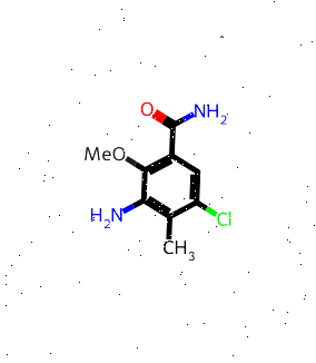 COc1c(C(N)=O)cc(Cl)c(C)c1N